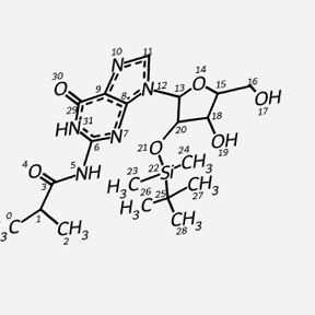 CC(C)C(=O)Nc1nc2c(ncn2C2OC(CO)C(O)C2O[Si](C)(C)C(C)(C)C)c(=O)[nH]1